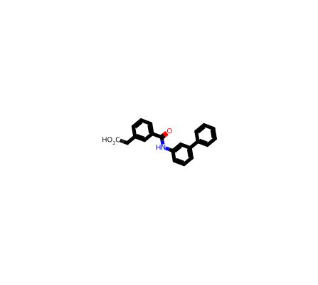 O=C(O)Cc1cccc(C(=O)Nc2cccc(-c3ccccc3)c2)c1